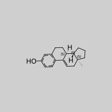 C[C@]12CC=C3c4ccc(O)cc4CC[C@H]3[C@@H]1CCC2